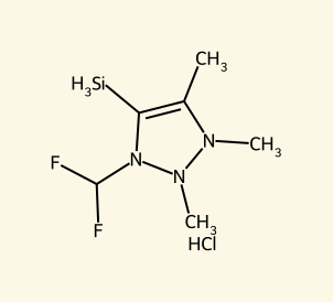 CC1=C([SiH3])N(C(F)F)N(C)N1C.Cl